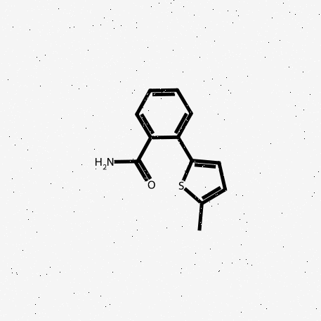 Cc1ccc(-c2ccccc2C(N)=O)s1